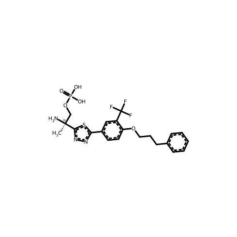 C[C@](N)(COP(=O)(O)O)c1nnc(-c2ccc(OCCCc3ccccc3)c(C(F)(F)F)c2)s1